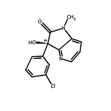 CN1C(=O)[C@@](O)(c2cccc(Cl)c2)c2ncccc21